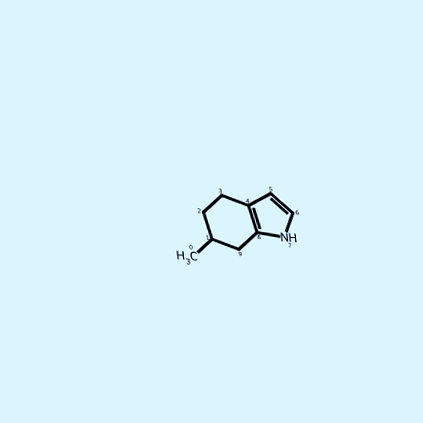 CC1CCc2cc[nH]c2C1